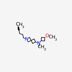 CC#CCCCN1CC2(CC(N(C)C3CC(OC)C3)C2)C1